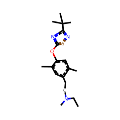 CCN(C)CCc1cc(C)c(Oc2nc(C(C)(C)C)ns2)cc1C